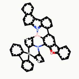 c1ccc2c(c1)-c1ccccc1[Si]21c2ccccc2N2c3c(cccc31)B1c3c(cc4c(oc5ccccc54)c32)-c2cccc3c4c5ccccc5ccc4n1c23